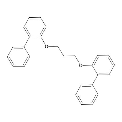 c1ccc(-c2ccccc2OCCCOc2ccccc2-c2ccccc2)cc1